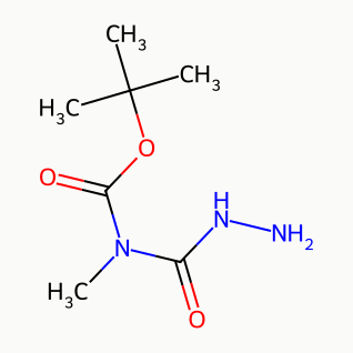 CN(C(=O)NN)C(=O)OC(C)(C)C